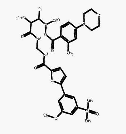 CCCCCC(C(=O)NCNC(=O)c1ccc(-c2cc(OCC)cc(P(=O)(O)O)c2)o1)C(CC)N(C=O)OC(=O)c1ccc(N2CCOCC2)cc1C